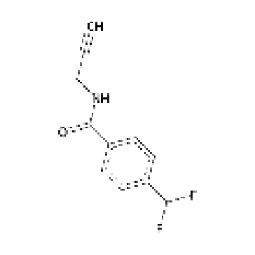 C#CCNC(=O)c1ccc(C(F)F)cc1